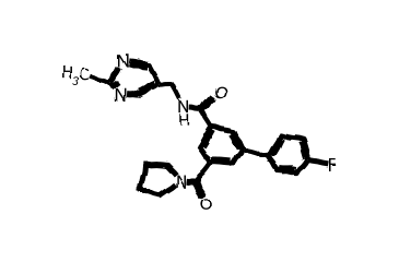 Cc1ncc(CNC(=O)c2cc(C(=O)N3CCCC3)cc(-c3ccc(F)cc3)c2)cn1